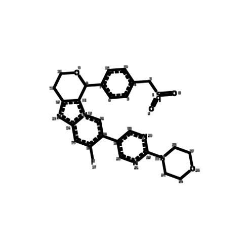 O=[SH](=O)Cc1ccc(C2OCCc3nc4cc(F)c(-c5cnc(N6CCOCC6)nc5)cn4c32)cc1